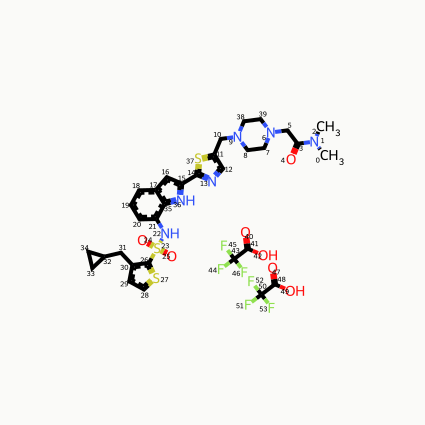 CN(C)C(=O)CN1CCN(Cc2cnc(-c3cc4cccc(NS(=O)(=O)c5sccc5CC5CC5)c4[nH]3)s2)CC1.O=C(O)C(F)(F)F.O=C(O)C(F)(F)F